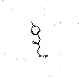 CCCCCCCCCC(=O)Sc1ccc(C)cc1